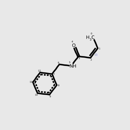 C/[C]=C\C(=O)NCc1ccccc1